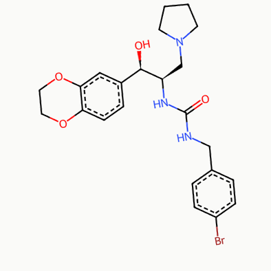 O=C(NCc1ccc(Br)cc1)N[C@H](CN1CCCC1)[C@H](O)c1ccc2c(c1)OCCO2